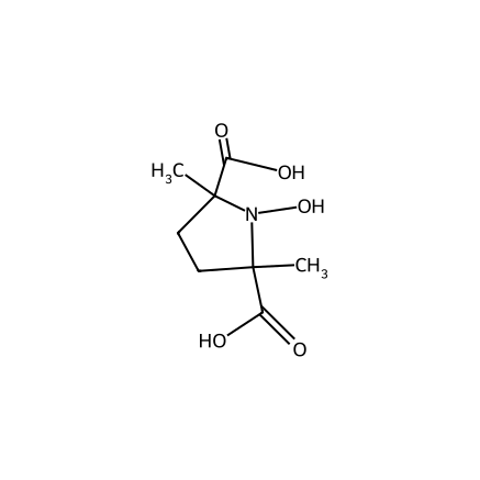 CC1(C(=O)O)CCC(C)(C(=O)O)N1O